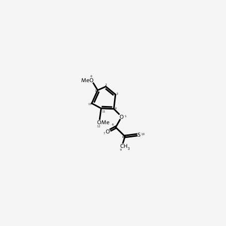 COc1ccc(OC(=O)C(C)=S)c(OC)c1